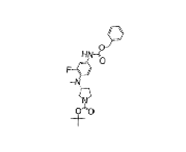 CN(c1ccc(NC(=O)OCc2ccccc2)cc1F)[C@@H]1CCN(C(=O)OC(C)(C)C)C1